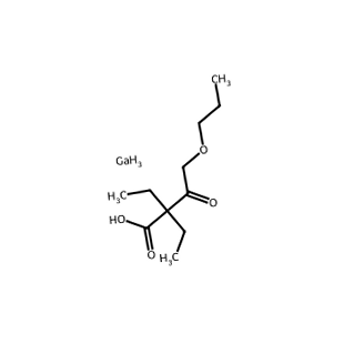 CCCOCC(=O)C(CC)(CC)C(=O)O.[GaH3]